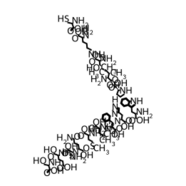 CC(C)C[C@H](N)C(=O)O.CC[C@H](C)[C@H](N)C(=O)O.CSCC[C@H](N)C(=O)O.C[C@@H](O)[C@H](N)C(=O)O.NC(=O)CC[C@H](N)C(=O)O.NCC(=O)O.NCCCC[C@H](N)C(=O)O.N[C@@H](CCC(=O)O)C(=O)O.N[C@@H](CO)C(=O)O.N[C@@H](CS)C(=O)O.N[C@@H](Cc1c[nH]c2ccccc12)C(=O)O.N[C@@H](Cc1c[nH]cn1)C(=O)O.N[C@@H](Cc1ccccc1)C(=O)O.O=C(O)[C@@H]1CCCN1